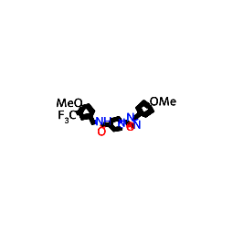 COc1ccc(-c2noc(N3CCC(C(=O)NCc4ccc(OC)c(C(F)(F)F)c4)CC3)n2)cc1